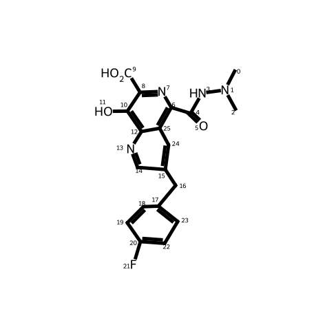 CN(C)NC(=O)c1nc(C(=O)O)c(O)c2ncc(Cc3ccc(F)cc3)cc12